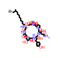 CCC(C)CC(C)CCCCCCCCC(=O)N[C@H]1C[C@@H](O)[C@@H](O)NC(=O)C2[C@@H](O)CCN2C(=O)C(C(O)CC(N)=O)NC(=O)C(C(O)C(O)c2ccc(O)cc2)NC(=O)C2C[C@@H](O)CN2C(=O)C([C@@H](C)O)NC1=O